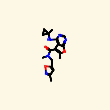 Cc1cc(CN(C)C(=O)c2c(C)oc3ncnc(NC4(C)CC4)c23)on1